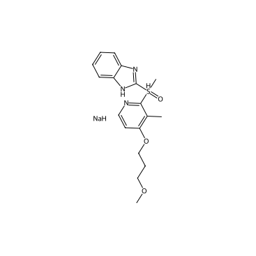 COCCCOc1ccnc([SH](C)(=O)c2nc3ccccc3[nH]2)c1C.[NaH]